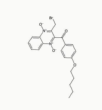 CCCCCOc1ccc(C(=O)c2c(CBr)[n+]([O-])c3ccccc3[n+]2[O-])cc1